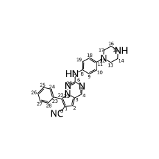 N#Cc1cc2cnc(Nc3ccc(N4CCNCC4)cc3)nn2c1-c1ccccc1